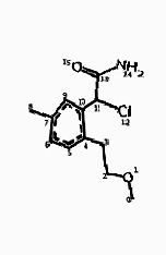 COCCc1ccc(C)cc1C(Cl)C(N)=O